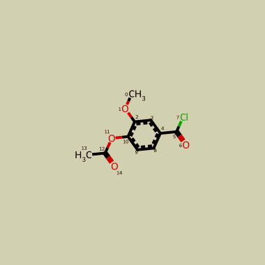 COc1cc(C(=O)Cl)ccc1OC(C)=O